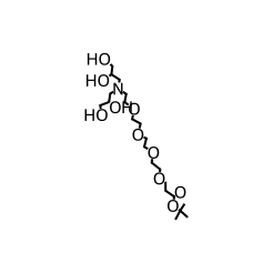 CC(C)(C)OC(=O)CCOCCOCCOCCOCCN(CC(O)CO)CC(O)CO